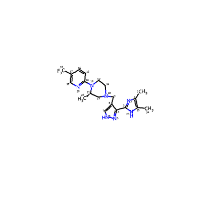 Cc1nc(-c2n[nH]cc2CN2CCN(c3ccc(C(F)(F)F)cn3)[C@H](C)C2)[nH]c1C